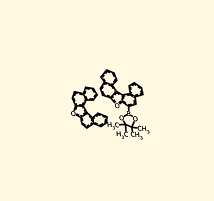 CC1(C)OB(c2cc3ccccc3c3c2oc2ccc4ccccc4c23)OC1(C)C.c1ccc2c(c1)ccc1oc3ccc4ccccc4c3c12